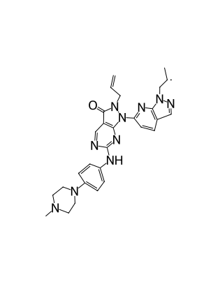 C=CCn1c(=O)c2cnc(Nc3ccc(N4CCN(C)CC4)cc3)nc2n1-c1ccc2cnn(C[CH]C)c2n1